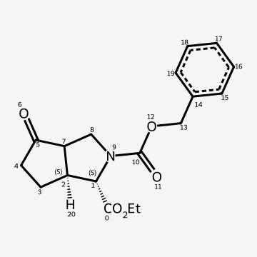 CCOC(=O)[C@@H]1[C@H]2CCC(=O)C2CN1C(=O)OCc1ccccc1